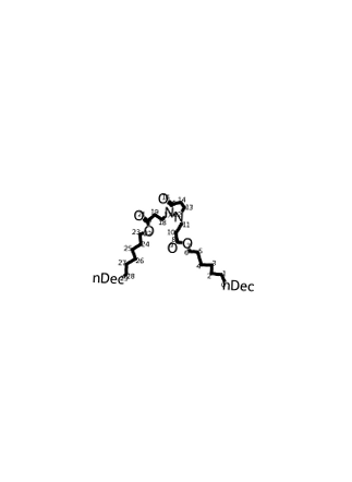 CCCCCCCCCCCCCCCCOC(=O)CCN1CCC(=O)N1CCC(=O)OCCCCCCCCCCCCCCCC